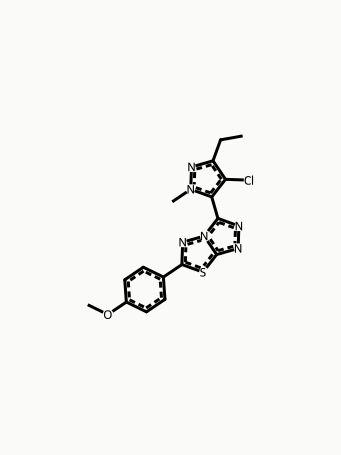 CCc1nn(C)c(-c2nnc3sc(-c4ccc(OC)cc4)nn23)c1Cl